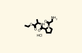 CCOC(=O)C(C)NC(=O)C1CCCN1C(=O)CN.Cl